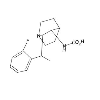 CC(c1ccccc1F)C1C(NC(=O)O)C2CCN1CC2